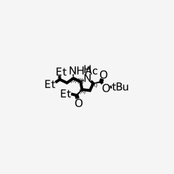 CCC(=O)[C@@H]1C[C@H](C(=O)OC(C)(C)C)N[C@H]1[C@H](CC(CC)CC)NC(C)=O